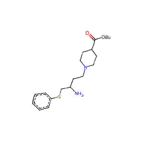 CC(C)COC(=O)C1CCN(CCC(N)CSc2ccccc2)CC1